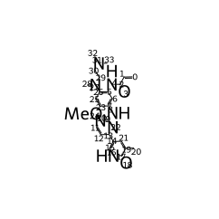 C=CC(=O)Nc1cc(Nc2nccc(-c3c[nH]c(=O)c(C)c3)n2)c(OC)cc1N(C)CCN(C)C